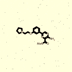 CNC(=O)c1nc(-c2cccc(OCCN3CCCC3)c2)cnc1N